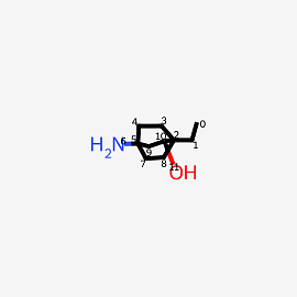 CCC12CCC(N)(CC1)CC2O